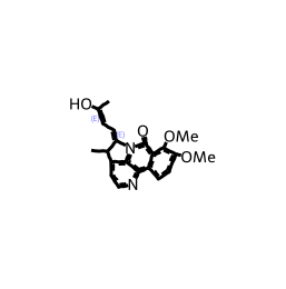 COc1ccc2c(c1OC)c(=O)n1c3c(ccnc23)C(C)/C1=C\C=C(/C)O